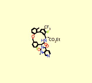 CCOC(=O)C[C@@H]1NC(=O)[C@@H](n2c(=O)c3ccncc3n(C)c2=O)c2cc(ccc2F)COc2cccc(C)c2-c2cc1c(F)c(C(F)(F)F)c2